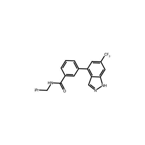 CC(C)CNC(=O)c1cccc(-c2cc(C(F)(F)F)cc3[nH]ncc23)c1